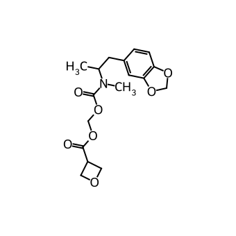 CC(Cc1ccc2c(c1)OCO2)N(C)C(=O)OCOC(=O)C1COC1